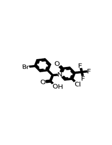 O=C(O)C(c1cccc(Br)c1)n1cc(Cl)c(C(F)(F)F)cc1=O